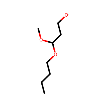 CCCCOC(CC[O])OC